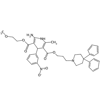 COCCOC(=O)C1=C(N)NC(C)=C(C(=O)OCCCN2CCC(c3ccccc3)(c3ccccc3)CC2)C1c1cccc([N+](=O)[O-])c1